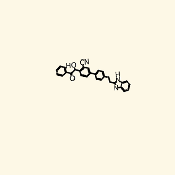 N#Cc1cc(-c2ccc(CCc3nc4ccccc4[nH]3)cc2)ccc1C(O)C(=O)c1ccccc1